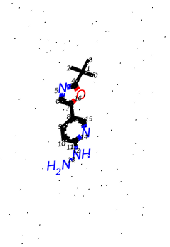 CC(C)(C)c1ncc(-c2ccc(NN)nc2)o1